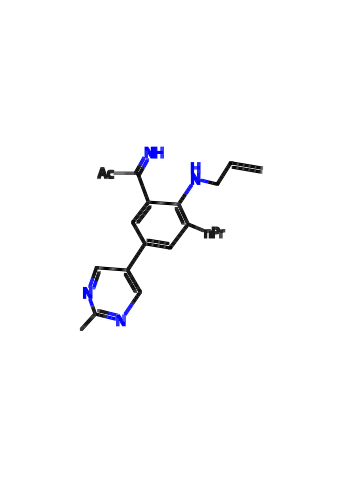 C=CCNc1c(CCC)cc(-c2cnc(C)nc2)cc1C(=N)C(C)=O